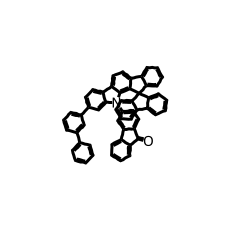 O=C1c2ccccc2-c2cc(-n3c4cc(-c5cccc(-c6ccccc6)c5)ccc4c4ccc5c(c43)C3(c4ccccc4-c4ccccc43)c3ccccc3-5)ccc21